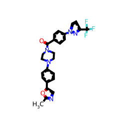 Cc1ncc(-c2ccc(N3CCN(C(=O)c4ccc(-n5ccc(C(F)(F)F)n5)cc4)CC3)cc2)o1